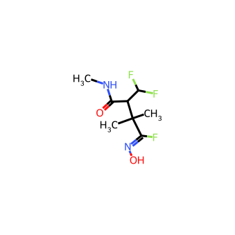 CNC(=O)C(C(F)F)C(C)(C)C(F)=NO